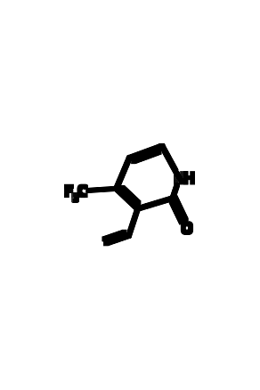 C=Cc1c(C(F)(F)F)cc[nH]c1=O